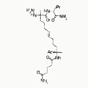 CC(=O)[C@](C)(CCC/C=C/CCCC(C)(NN)C(=O)NC(C(N)=O)C(C)C)NC(=O)CCCC(N)=O